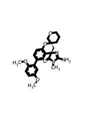 COc1ccc(OC)c(-c2ccc3c(c2)[C@]2(C[C@]4(CCCOC4)O3)N=C(N)N(C)C2=O)c1